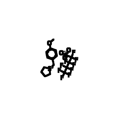 COc1ccc(C[S+]2CCCC2)cc1.O=S(=O)([O-])C(F)(F)C(F)(F)C(F)(F)C(F)(F)F